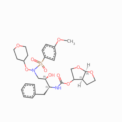 COc1ccc(S(=O)(=O)N(C[C@@H](O)[C@H](Cc2ccccc2)NC(=O)OC2CO[C@H]3OCC[C@@H]23)OC2CCOCC2)cc1